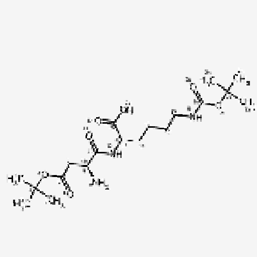 CC(C)(C)OC(=O)C[C@H](N)C(=O)N[C@@H](CCCCNC(=O)OC(C)(C)C)C(=O)O